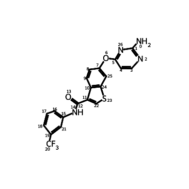 Nc1nccc(Oc2ccc3c(C(=O)Nc4cccc(C(F)(F)F)c4)csc3c2)n1